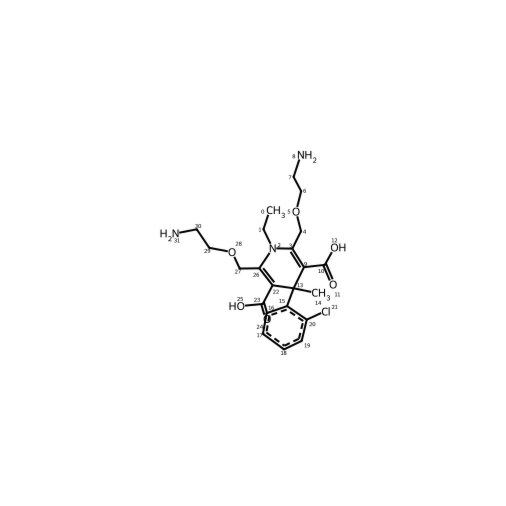 CCN1C(COCCN)=C(C(=O)O)C(C)(c2ccccc2Cl)C(C(=O)O)=C1COCCN